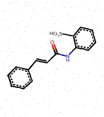 O=C(C=Cc1ccccc1)Nc1ccccc1S(=O)(=O)O